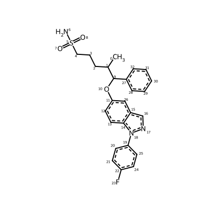 CC(CCCS(N)(=O)=O)C(Oc1ccc2c(cnn2-c2ccc(F)cc2)c1)c1ccccc1